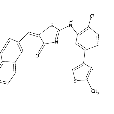 Cc1nc(-c2ccc(Cl)c(NC3=NC(=O)C(=Cc4ccc5ncccc5c4)S3)c2)cs1